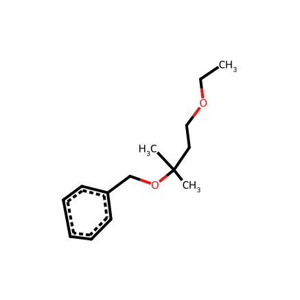 CCOCCC(C)(C)OCc1ccccc1